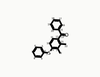 Cc1c(Sc2cc[c]cc2)ccc(C(=O)c2ccccc2)c1C